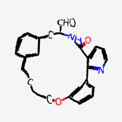 O=C[C@@H]1Cc2cccc(c2)CCCCOc2cccc(c2)-c2ncccc2C(=O)N1